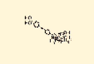 C=C(NO)[C@@](C)(C[C@H]1CC(c2ccc(C#Cc3ccc([C@H](O)CO)cc3)cc2)=NO1)S(C)(=O)=O